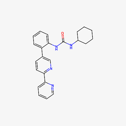 O=C(Nc1ccccc1-c1ccc(-c2ccccn2)nc1)NC1CCCCC1